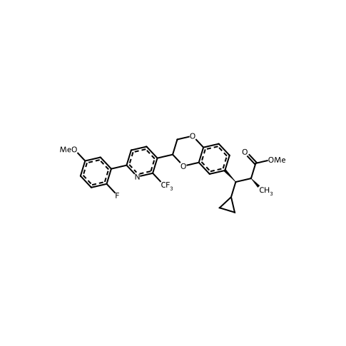 COC(=O)[C@@H](C)[C@H](c1ccc2c(c1)OC(c1ccc(-c3cc(OC)ccc3F)nc1C(F)(F)F)CO2)C1CC1